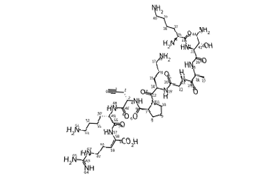 C#CC[C@H](NC(=O)[C@@H]1CCCN1C(=O)[C@@H](CCCN)NC(=O)CNC(=O)[C@H](C)NC(=O)[C@@H](NC(=O)[C@@H](N)CCCCN)[C@@H](O)CN)C(=O)N[C@@H](CCCCN)C(=O)N/C(=C\CCNC(=N)N)C(=O)O